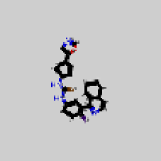 S=C(Nc1ccc(-c2cnco2)cc1)Nc1ccc(I)c(-c2nccc3ccccc23)c1